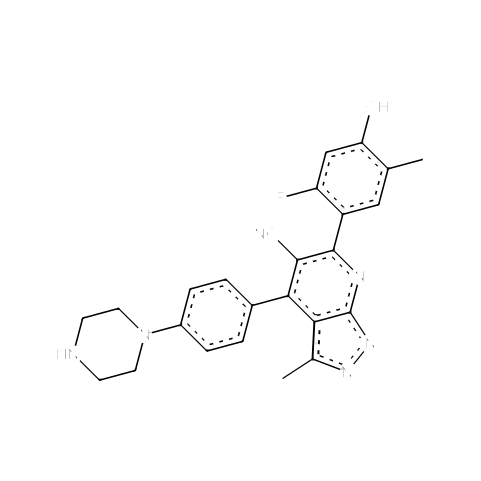 Cc1cc(-c2nc3[nH]nc(C)c3c(-c3ccc(N4CCNCC4)cc3)c2C#N)c(F)cc1O